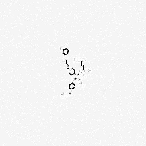 COc1ccc(N=C(SC)N(C)C2CCN(CCCCOc3ccc(F)c(F)c3)CC2)cc1.O=C(O)C=CC(=O)O